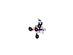 CCNC(=O)c1onc(-c2cc(C(C)C)c(OCc3ccccc3)cc2OCc2ccccc2)c1-c1ccc2c(c1)CCN(CCF)C2